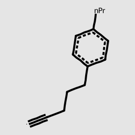 [C]#CCCCc1ccc(CCC)cc1